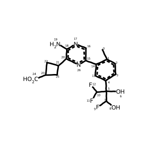 Cc1ccc(C(O)(C(O)F)C(F)F)cc1-c1cnc(N)c(C2CC(C(=O)O)C2)n1